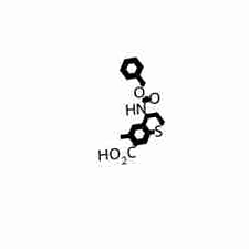 Cc1cc2c(cc1C(=O)O)SCC[C@@H]2NC(=O)OCc1ccccc1